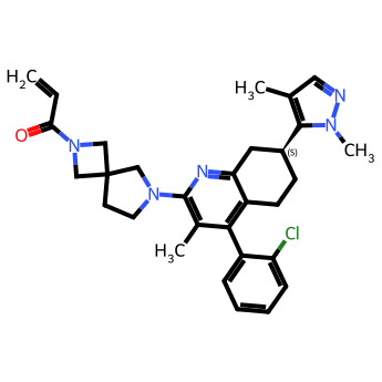 C=CC(=O)N1CC2(CCN(c3nc4c(c(-c5ccccc5Cl)c3C)CC[C@H](c3c(C)cnn3C)C4)C2)C1